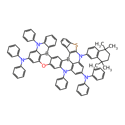 CC1(C)CCC(C)(C)c2cc(N3c4cc(N(c5ccccc5)c5ccccc5)cc5c4B(c4cc6c(cc4N5c4ccccc4)Oc4cc(N(c5ccccc5)c5ccccc5)cc5c4B6c4ccccc4N5c4ccccc4)c4c3sc3ccccc43)ccc21